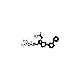 CC(C)Cn1cc(CCNS(=O)(=O)N(C)C)c2ccc(-c3cccc(-c4ccccc4)c3)cc21